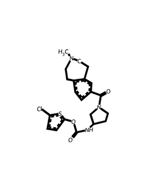 CN1CCc2ccc(C(=O)N3CCC(NC(=O)Oc4ccc(Cl)s4)C3)cc2CC1